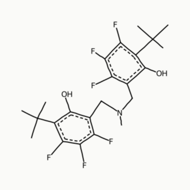 CN(Cc1c(O)c(C(C)(C)C)c(F)c(F)c1F)Cc1c(O)c(C(C)(C)C)c(F)c(F)c1F